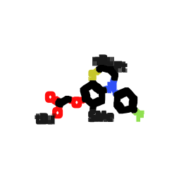 CCCCC1(CC)CSc2cc(OCC(=O)OC(C)(C)C)c(SC)cc2N(c2ccc(F)cc2)C1